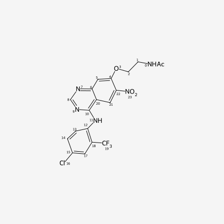 CC(=O)NCCOc1cc2ncnc(Nc3ccc(Cl)cc3C(F)(F)F)c2cc1[N+](=O)[O-]